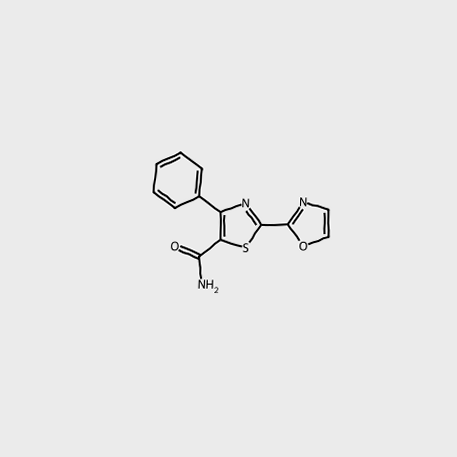 NC(=O)c1sc(-c2ncco2)nc1-c1ccccc1